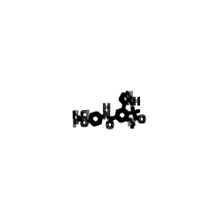 CN1C(=O)C(C)(C)c2c(-c3ccn[nH]3)cc(C(=O)Nc3ccc(OC(F)(F)Cl)cc3)cc21